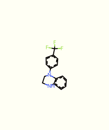 FC(F)(F)c1ccc(N2CCNc3ccccc32)cc1